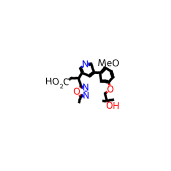 COc1ccc(OCC(C)(C)O)cc1-c1cncc(C(CC(=O)O)c2nnc(C)o2)c1